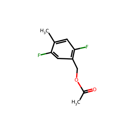 CC(=O)OCc1cc(F)c(C)cc1F